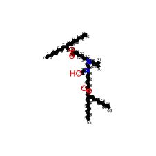 CCCCCCCCC(CCCCCCCC)COC(=O)CCCCCN(CC=C(C)C)CCN(CCO)CCCCCC(=O)OCC(CCCCCCCC)CCCCCCCC